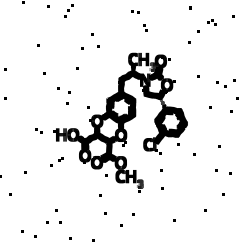 COC(=O)C1Oc2ccc(C[C@@H](C)N3C[C@@H](c4cccc(Cl)c4)OC3=O)cc2OC1C(=O)O